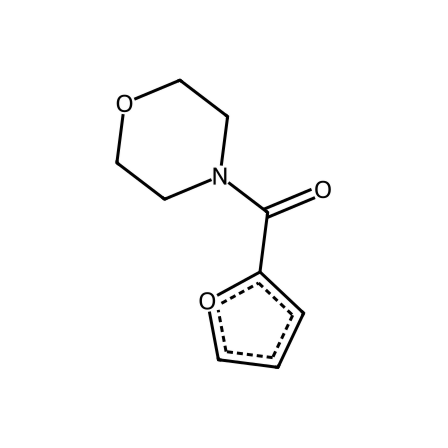 O=C(c1ccco1)N1CCOCC1